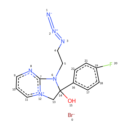 [Br-].[N-]=[N+]=NCCN1c2nccc[n+]2CC1(O)c1ccc(F)cc1